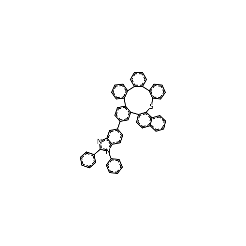 c1ccc(-c2nc3cc(-c4ccc5c(c4)-c4ccc6ccccc6c4Sc4ccccc4-c4ccccc4-c4ccccc4-5)ccc3n2-c2ccccc2)cc1